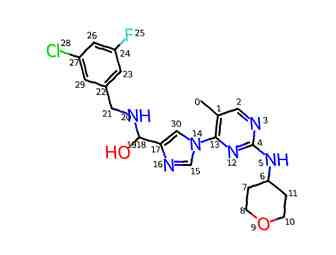 Cc1cnc(NC2CCOCC2)nc1-n1cnc(C(O)NCc2cc(F)cc(Cl)c2)c1